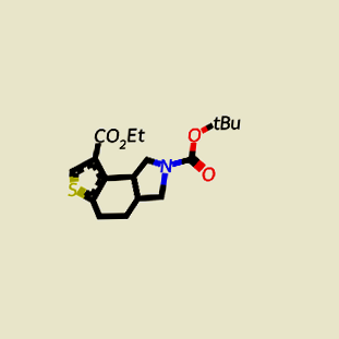 CCOC(=O)c1csc2c1C1CN(C(=O)OC(C)(C)C)CC1CC2